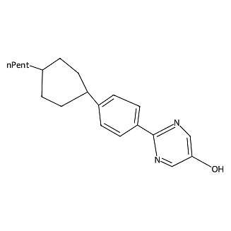 CCCCCC1CCC(c2ccc(-c3ncc(O)cn3)cc2)CC1